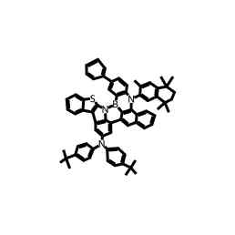 Cc1cc2c(cc1N1c3ccc(-c4ccccc4)cc3B3c4c(cc5ccccc5c41)-c1cc(N(c4ccc(C(C)(C)C)cc4)c4ccc(C(C)(C)C)cc4)cc4c5c6ccccc6sc5n3c14)C(C)(C)CCC2(C)C